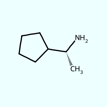 C[C@@H](N)C1CCCC1